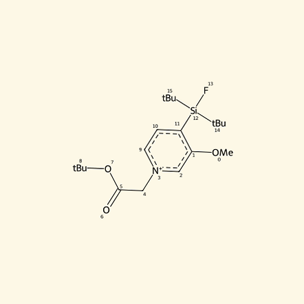 COc1c[n+](CC(=O)OC(C)(C)C)ccc1[Si](F)(C(C)(C)C)C(C)(C)C